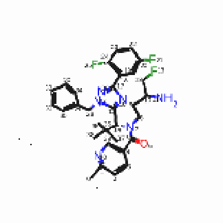 Cc1ccc(C(=O)N(CCC(N)CF)[C@@H](c2nc(-c3cc(F)ccc3F)nn2Cc2ccccc2)C(C)(C)C)cn1